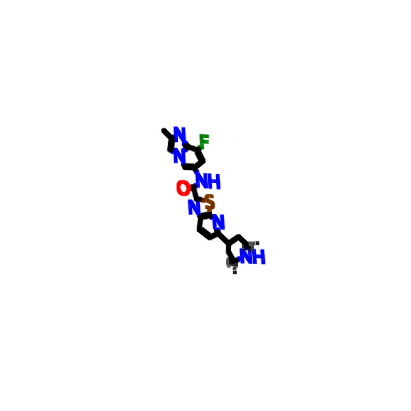 Cc1cn2cc(NC(=O)c3nc4ccc(C5C[C@@H](C)N[C@@H](C)C5)nc4s3)cc(F)c2n1